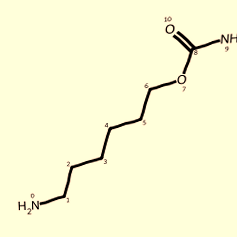 NCCCCCCOC(N)=O